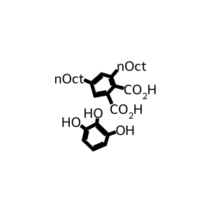 CCCCCCCCc1cc(CCCCCCCC)c(C(=O)O)c(C(=O)O)c1.Oc1cccc(O)c1O